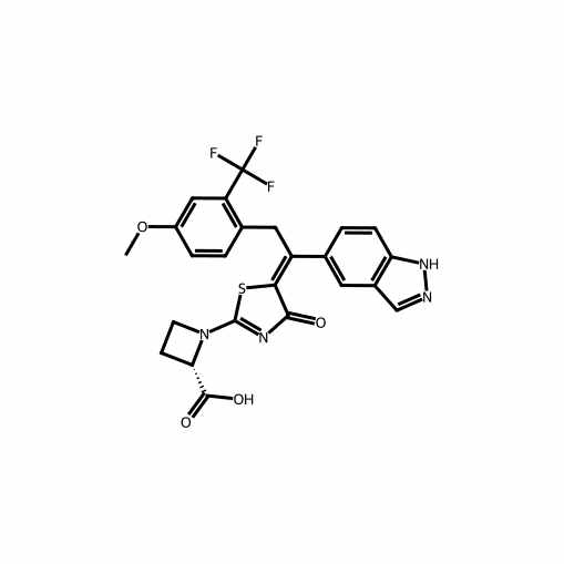 COc1ccc(CC(=C2SC(N3CC[C@H]3C(=O)O)=NC2=O)c2ccc3[nH]ncc3c2)c(C(F)(F)F)c1